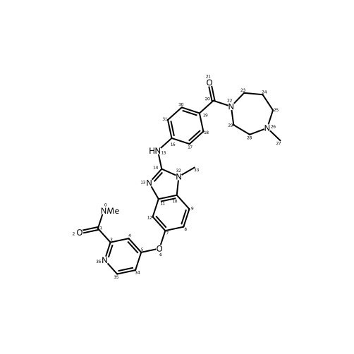 CNC(=O)c1cc(Oc2ccc3c(c2)nc(Nc2ccc(C(=O)N4CCCN(C)CC4)cc2)n3C)ccn1